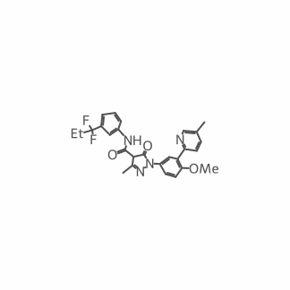 CCC(F)(F)c1cccc(NC(=O)C2C(=O)N(c3ccc(OC)c(-c4ccc(C)cn4)c3)N=C2C)c1